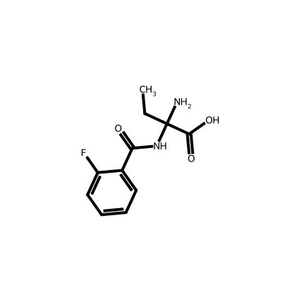 CCC(N)(NC(=O)c1ccccc1F)C(=O)O